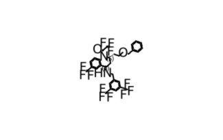 O=C(N1c2ccc(C(F)(F)F)cc2[C@@H](NCc2cc(C(F)(F)F)cc(C(F)(F)F)c2)C[C@H]1CCOCc1ccccc1)C(F)(F)F